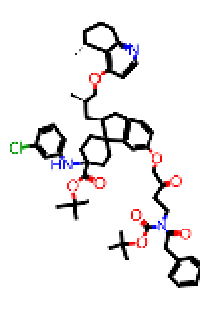 C[C@@H](COc1ccnc2c1[C@H](C)CCC2)C[C@H]1Cc2ccc(OCC(=O)CCN(C(=O)Cc3ccccc3)C(=O)OC(C)(C)C)cc2C12CCC(Nc1cccc(Cl)c1)(C(=O)OC(C)(C)C)CC2